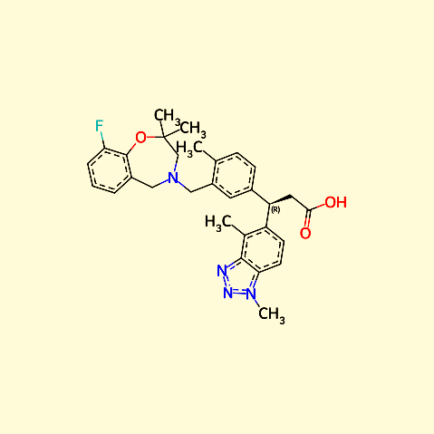 Cc1ccc([C@@H](CC(=O)O)c2ccc3c(nnn3C)c2C)cc1CN1Cc2cccc(F)c2OC(C)(C)C1